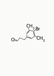 Cc1cc(CCC=O)cc(C)c1Br